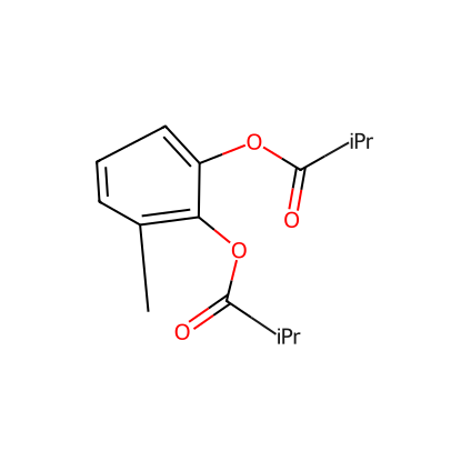 Cc1cccc(OC(=O)C(C)C)c1OC(=O)C(C)C